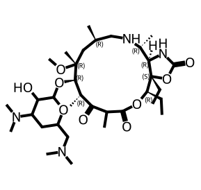 CC[C@H]1OC(=O)C(C)C(=O)[C@H](C)[C@@H](OC2OC(CN(C)C)CC(N(C)C)C2O)[C@](C)(OC)C[C@@H](C)CN[C@H](C)[C@H]2NC(=O)O[C@@]21CC